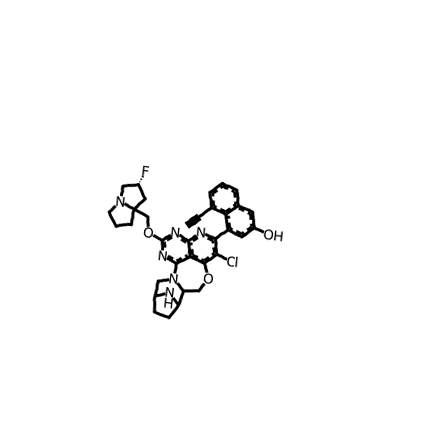 C#Cc1cccc2cc(O)cc(-c3nc4nc(OCC56CCCN5C[C@H](F)C6)nc5c4c(c3Cl)OCC3C4CCC(CN53)N4)c12